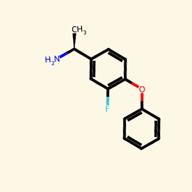 C[C@H](N)c1ccc(Oc2ccccc2)c(F)c1